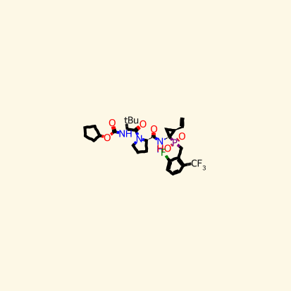 C=C[C@@H]1C[C@]1(NC(=O)[C@@H]1CCCN1C(=O)C(NC(=O)OC1CCCC1)C(C)(C)C)P(=O)(O)Cc1c(F)cccc1C(F)(F)F